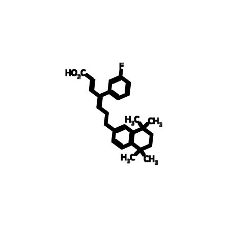 CC1(C)CCC(C)(C)c2cc(CC/C=C(/C=CC(=O)O)c3cccc(F)c3)ccc21